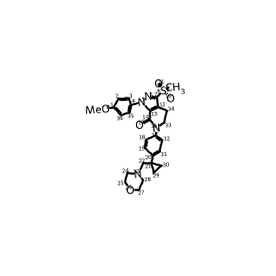 COc1ccc(-n2nc(S(C)(=O)=O)c3c2C(=O)N(c2ccc(C4(CN5CCOCC5)CC4)cc2)CC3)cc1